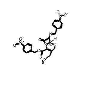 COCC1=C(C(=O)OCc2ccc([N+](=O)[O-])cc2)N2C(=O)C(N=Cc3ccc([N+](=O)[O-])cc3)[C@@H]2SC1